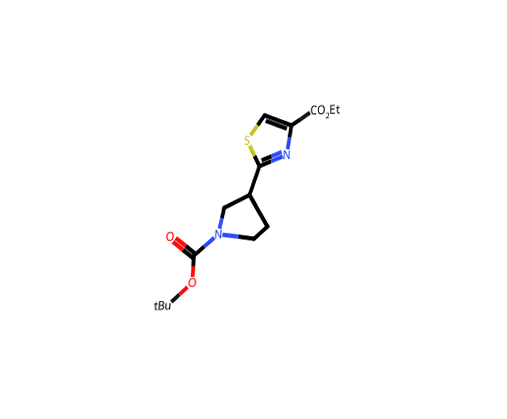 CCOC(=O)c1csc(C2CCN(C(=O)OC(C)(C)C)C2)n1